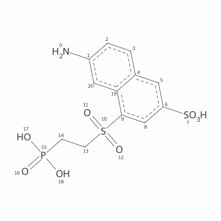 Nc1ccc2cc(S(=O)(=O)O)cc(S(=O)(=O)CCP(=O)(O)O)c2c1